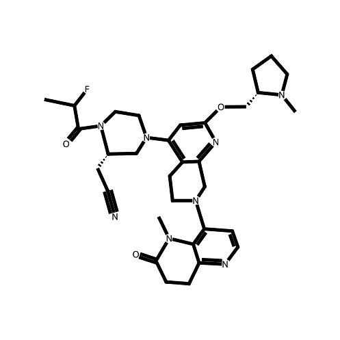 CC(F)C(=O)N1CCN(c2cc(OC[C@@H]3CCCN3C)nc3c2CCN(c2ccnc4c2N(C)C(=O)CC4)C3)C[C@@H]1CC#N